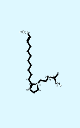 CCCCCCCCC=CCCCCCCCCC1=NCCN1CCNC(C)N